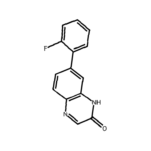 O=c1cnc2ccc(-c3ccccc3F)cc2[nH]1